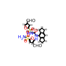 NS(=O)(=O)c1cc(C=O)co1.O=Cc1coc(S(=O)(=O)NC(=O)Nc2c3c(cc4c2CCC4)CCC3)c1